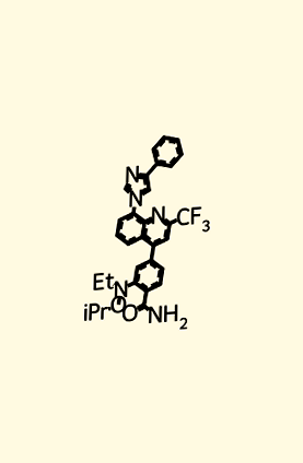 CCN(OC(C)C)c1cc(-c2cc(C(F)(F)F)nc3c(-n4cnc(-c5ccccc5)c4)cccc23)ccc1C(N)=O